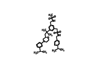 CC(C)c1ccc(CNS(=O)(=O)Cc2cc(CNS(C)(=O)=O)cc(C(C)(C)CC3CN(c4cccc(C(C)C)c4)CCO3)c2)cc1